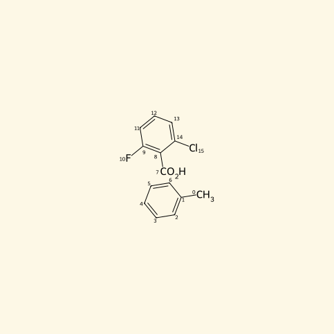 Cc1ccccc1.O=C(O)c1c(F)cccc1Cl